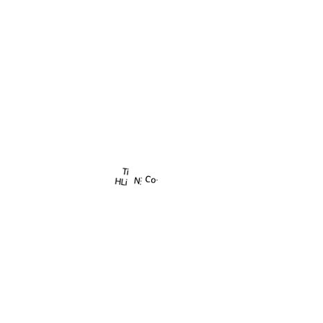 [Co].[LiH].[N].[Ti]